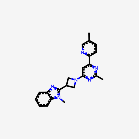 Cc1ccc(-c2cc(N3CC(c4nc5ccccc5n4C)C3)nc(C)n2)nc1